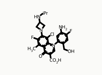 Cc1c(F)c(N2CC(NC(C)C)C2)c(Cl)c2c1c(=O)c(C(=O)O)cn2-c1cc(N)c(F)cc1CO